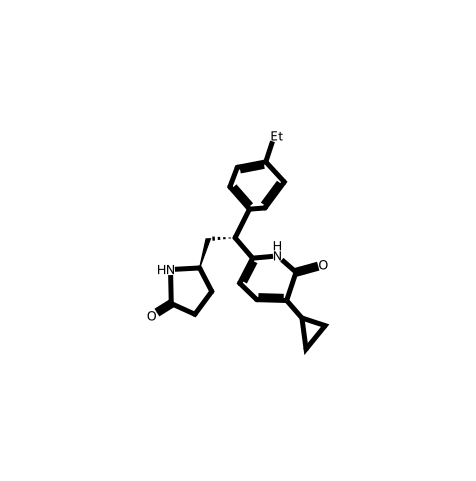 CCc1ccc([C@@H](C[C@H]2CCC(=O)N2)c2ccc(C3CC3)c(=O)[nH]2)cc1